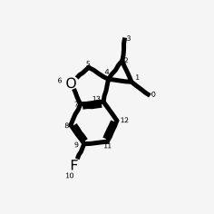 CC1C(C)C12COc1cc(F)ccc12